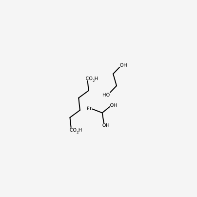 CCC(O)O.O=C(O)CCCCC(=O)O.OCCO